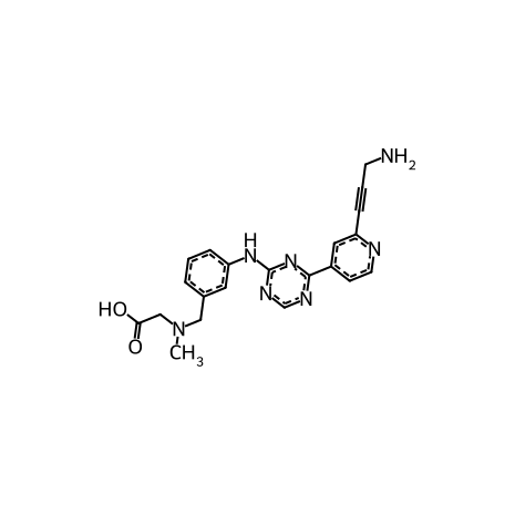 CN(CC(=O)O)Cc1cccc(Nc2ncnc(-c3ccnc(C#CCN)c3)n2)c1